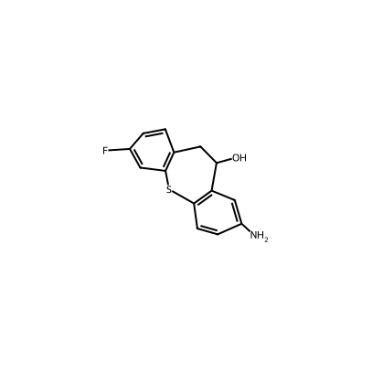 Nc1ccc2c(c1)C(O)Cc1ccc(F)cc1S2